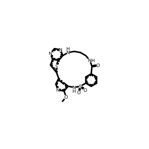 COc1ncc2cc1NS(=O)(=O)c1cccc(c1)C(=O)NCCCNc1ncnc3cc-2sc13